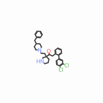 O=C(Cc1ccccc1-c1ccc(Cl)c(Cl)c1)C1(CCN2CCC(Cc3ccccc3)CC2)CCCNC1